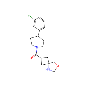 O=C(C1CC2(COCN2)C1)N1CCC(c2cccc(Cl)c2)CC1